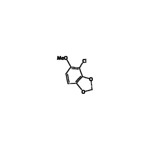 COc1ccc2c(c1Cl)OCO2